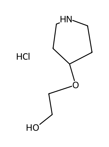 Cl.OCCOC1CCNCC1